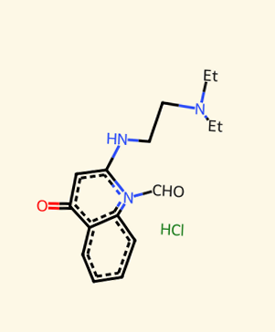 CCN(CC)CCNc1cc(=O)c2ccccc2n1C=O.Cl